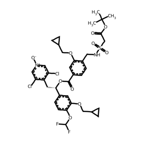 CC(C)(C)OC(=O)CS(=O)(=O)NCc1ccc(C(=O)O[C@@H](Cc2c(Cl)c[n+]([O-])cc2Cl)c2ccc(OC(F)F)c(OCC3CC3)c2)cc1OCC1CC1